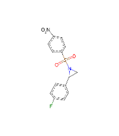 O=[N+]([O-])c1ccc(S(=O)(=O)N2CC2c2ccc(F)cc2)cc1